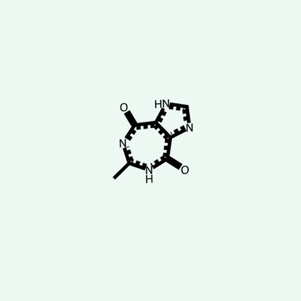 Cc1nc(=O)c2[nH]cnc2c(=O)[nH]1